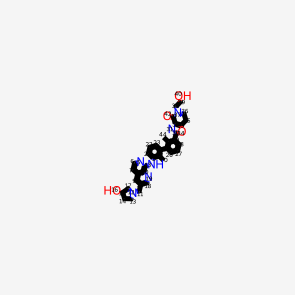 Cc1c(Nc2nccc3cc(CN4CC[C@@H](O)C4)cnc23)cccc1-c1cccc(-c2nc3c(o2)CCN(CCO)C3=O)c1C